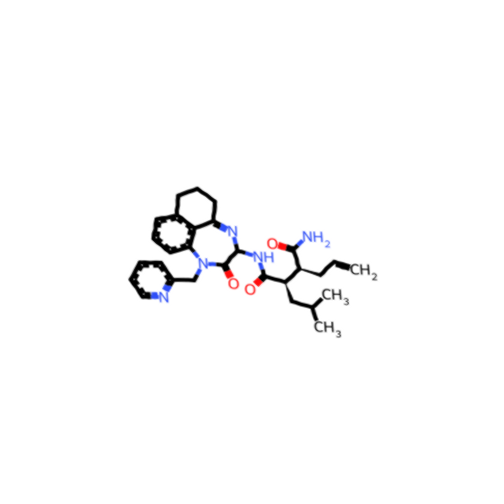 C=CC[C@H](C(N)=O)[C@@H](CC(C)C)C(=O)NC1N=C2CCCc3cccc(c32)N(Cc2ccccn2)C1=O